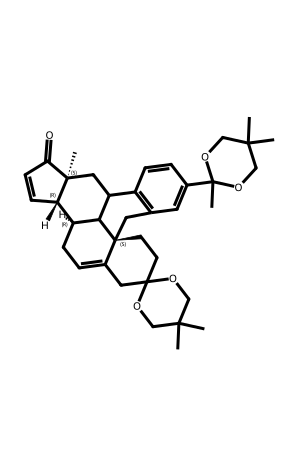 CC1(C)COC2(CC[C@@]34Cc5cc(C6(C)OCC(C)(C)CO6)ccc5C5C[C@]6(C)C(=O)C=C[C@H]6[C@H](CC=C3C2)C54)OC1